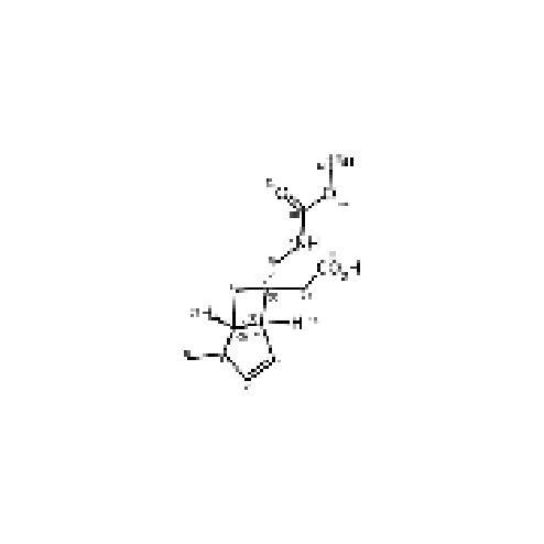 CC1C=C[C@@H]2[C@H]1C[C@@]2(CNC(=O)OC(C)(C)C)CC(=O)O